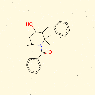 CC1(C)CC(O)C(Cc2ccccc2)C(C)(C)N1C(=O)c1ccccc1